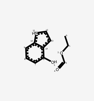 CCOC=O.Oc1cccc2[nH]ccc12